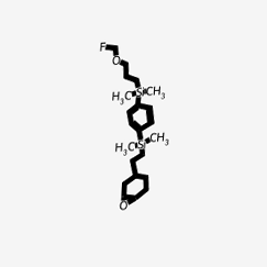 C[Si](C)(CCCOCF)c1ccc([Si](C)(C)CCC2CCC3OC3C2)cc1